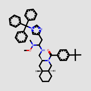 CON(C)C(Cc1cn(C(c2ccccc2)(c2ccccc2)c2ccccc2)cn1)NC[C@@H]1C[C@H]2CCCC[C@@H]2CN1C(=O)c1ccc(C(C)(C)C)cc1